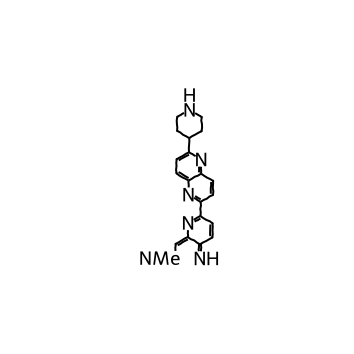 CN/C=C1/N=C(c2ccc3nc(C4CCNCC4)ccc3n2)C=CC1=N